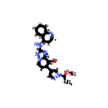 CCOC(C)n1cc(-c2ccn3nc(Nc4ccnc5ccccc45)nc3c2Br)cn1